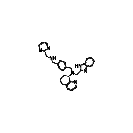 c1cnc(CNCc2ccc(CN(Cc3nc4ccccc4[nH]3)C3CCCc4cccnc43)cc2)nc1